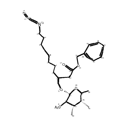 CC(=O)OC1[C@H](OC(CCCCCCCN=[N+]=[N-])CC(=O)OCc2ccccc2)OC(C)[C@H](C)[C@@H]1C